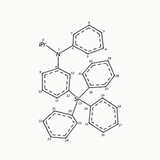 CC(C)N(c1ccccc1)c1cccc([Si](c2ccccc2)(c2ccccc2)c2ccccc2)c1